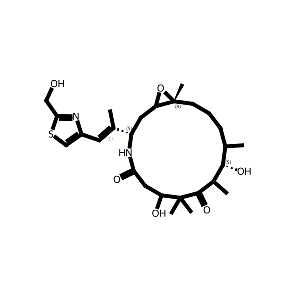 C/C(=C\c1csc(CO)n1)[C@@H]1CC2O[C@]2(C)CCCC(C)[C@H](O)C(C)C(=O)C(C)(C)C(O)CC(=O)N1